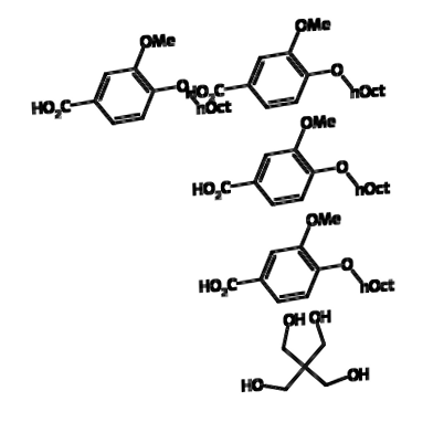 CCCCCCCCOc1ccc(C(=O)O)cc1OC.CCCCCCCCOc1ccc(C(=O)O)cc1OC.CCCCCCCCOc1ccc(C(=O)O)cc1OC.CCCCCCCCOc1ccc(C(=O)O)cc1OC.OCC(CO)(CO)CO